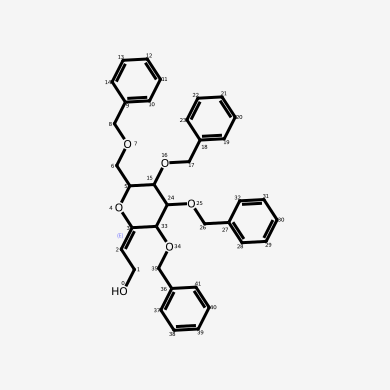 OC/C=C1/OC(COCc2ccccc2)C(OCc2ccccc2)C(OCc2ccccc2)C1OCc1ccccc1